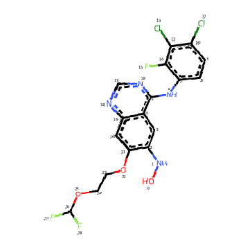 ONc1cc2c(Nc3ccc(Cl)c(Cl)c3F)ncnc2cc1OCCOC(F)F